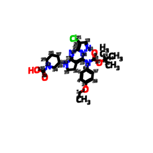 CCOc1ccc(N(C(=O)OC(C)(C)C)c2c3c(nc4c(Cl)cnn24)N([C@H]2CCCN(C(=O)O)C2)CC3)cc1